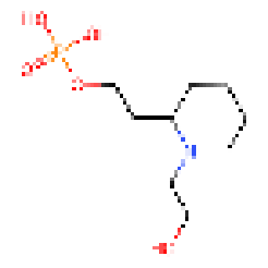 O=P(O)(O)OCCC1CCCCN1CCO